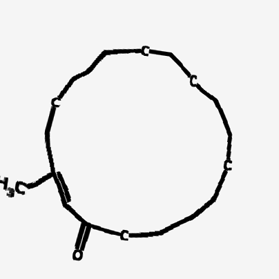 CC1=CC(=O)CCCCCCCCCCCCCC1